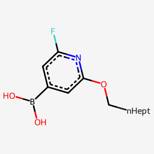 CCCCCCCCOc1cc(B(O)O)cc(F)n1